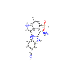 Cc1cc(S(C)(=O)=O)c(C(N)c2nc3cc(C#N)ccc3[nH]2)c2cc[nH]c12